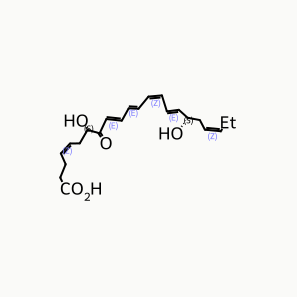 CC/C=C\C[C@H](O)/C=C/C=C\C=C\C=C\C(=O)[C@@H](O)C/C=C\CCC(=O)O